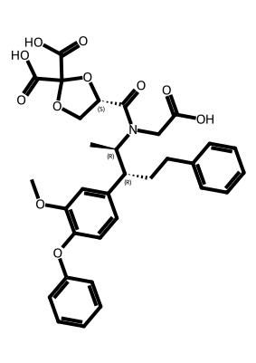 COc1cc([C@@H](CCc2ccccc2)[C@@H](C)N(CC(=O)O)C(=O)[C@@H]2COC(C(=O)O)(C(=O)O)O2)ccc1Oc1ccccc1